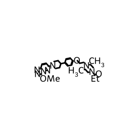 CCC(=O)N1CC(C)N(CCOc2ccc(C3CCN(c4ccc5nnc(OC)n5n4)CC3)cc2)C(C)C1